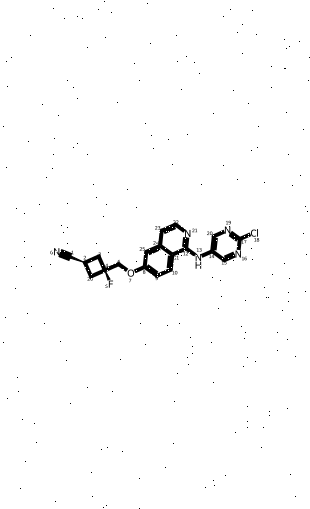 N#C[C@H]1C[C@](F)(COc2ccc3c(Nc4cnc(Cl)nc4)nccc3c2)C1